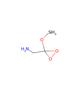 NCC1(O[SiH3])OO1